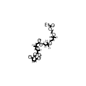 CCC(=O)OCCOC(C)(C)CCOC(C)(C)CCOC(=O)CC(C)(C)CC(C)C(=O)ON1C(=O)CCC1=O